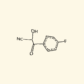 N#CC(O)C(=O)c1ccc(F)cc1